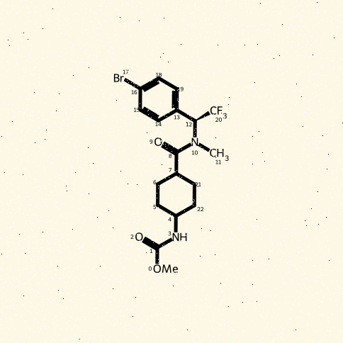 COC(=O)NC1CCC(C(=O)N(C)[C@@H](c2ccc(Br)cc2)C(F)(F)F)CC1